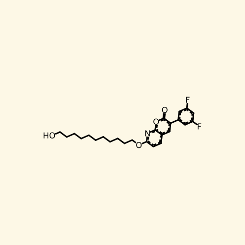 O=c1oc2nc(OCCCCCCCCCCCO)ccc2cc1-c1cc(F)cc(F)c1